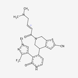 CCn1cc(-c2c(C3CN(C(=O)/C=C/CN(C)C)Cc4sc(C#N)cc43)cc[nH]c2=O)c(C(F)(F)F)n1